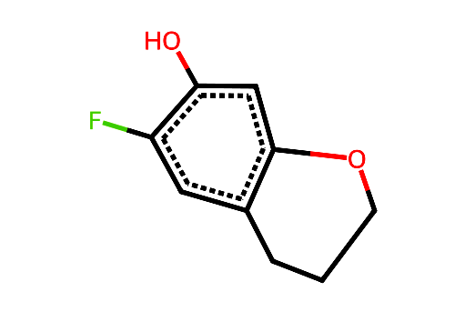 Oc1cc2c(cc1F)CCCO2